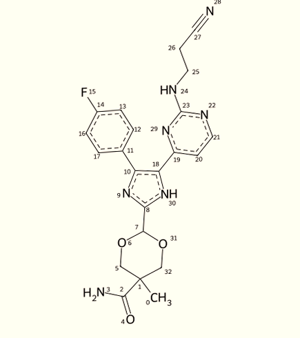 CC1(C(N)=O)COC(c2nc(-c3ccc(F)cc3)c(-c3ccnc(NCCC#N)n3)[nH]2)OC1